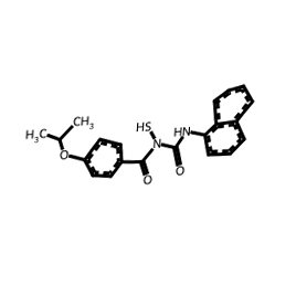 CC(C)Oc1ccc(C(=O)N(S)C(=O)Nc2cccc3ccccc23)cc1